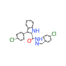 O=C(N/N=C\c1ccc(Cl)cc1)c1[nH]c2ccccc2c1-c1ccc(Cl)cc1